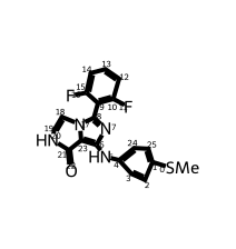 CSc1ccc(Nc2nc(-c3c(F)cccc3F)n3cc[nH]c(=O)c23)cc1